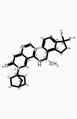 C[C@H](Nc1ncnc2cc(=O)n(C34CCC(CC3)C4)cc12)c1cccc2c1CCC2(F)F